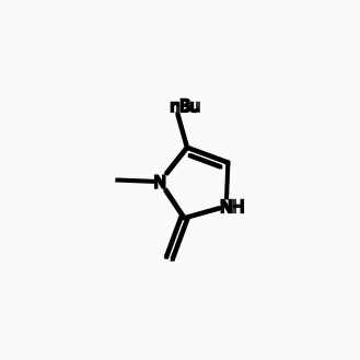 C=C1NC=C(CCCC)N1C